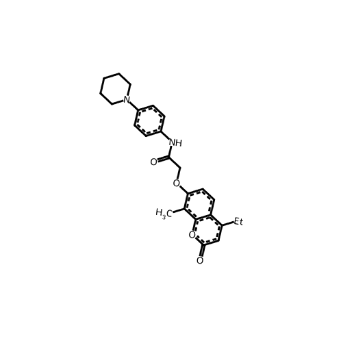 CCc1cc(=O)oc2c(C)c(OCC(=O)Nc3ccc(N4CCCCC4)cc3)ccc12